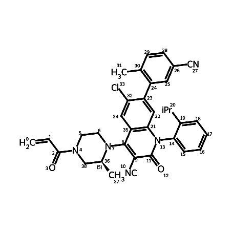 C=CC(=O)N1CCN(c2c(C#N)c(=O)n(-c3ccccc3C(C)C)c3cc(-c4cc(C#N)ccc4C)c(Cl)cc23)[C@@H](C)C1